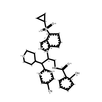 N#Cc1cnc(C(C2CCOCC2)C(CNC(=O)c2ccccc2O)n2ncc3c(S(=O)(=O)C4CC4)cccc32)nc1